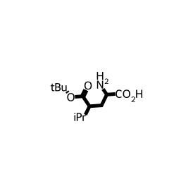 CC(C)C(CC(N)C(=O)O)C(=O)OC(C)(C)C